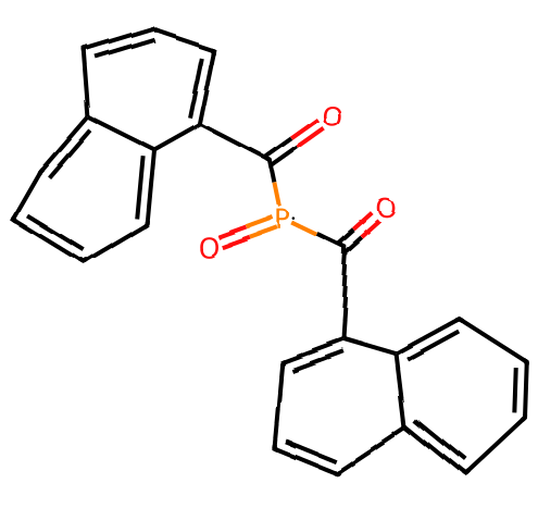 O=C(c1cccc2ccccc12)[P](=O)C(=O)c1cccc2ccccc12